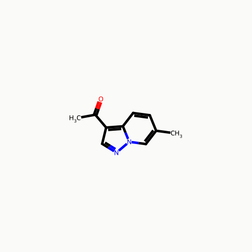 CC(=O)c1cnn2cc(C)ccc12